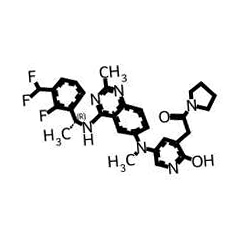 Cc1nc(N[C@H](C)c2cccc(C(F)F)c2F)c2cc(N(C)c3cnc(O)c(CC(=O)N4CCCC4)c3)ccc2n1